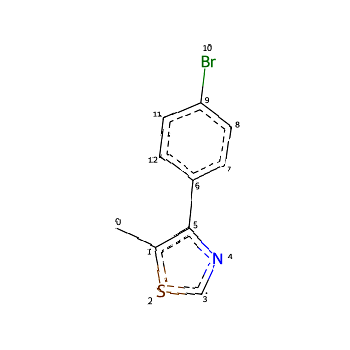 Cc1s[c]nc1-c1ccc(Br)cc1